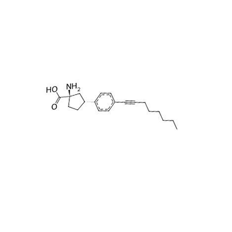 CCCCCCC#Cc1ccc([C@@H]2CC[C@](N)(C(=O)O)C2)cc1